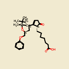 CC(C)(C)[Si](C)(C)O[C@@H](CCC1=CCC(=O)[C@@H]1CCCCCCC(=O)O)COc1ccccc1